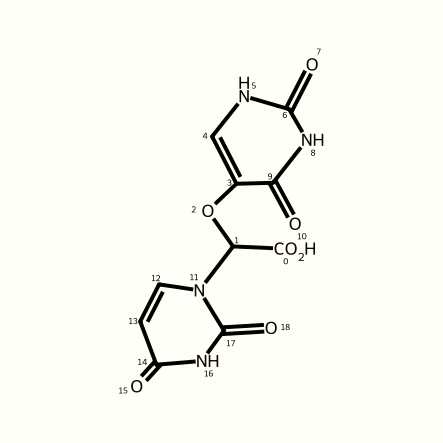 O=C(O)C(Oc1c[nH]c(=O)[nH]c1=O)n1ccc(=O)[nH]c1=O